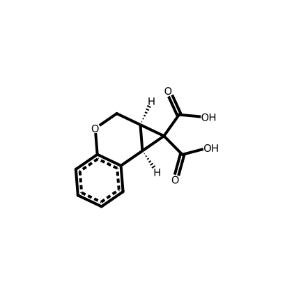 O=C(O)C1(C(=O)O)[C@@H]2COc3ccccc3[C@@H]21